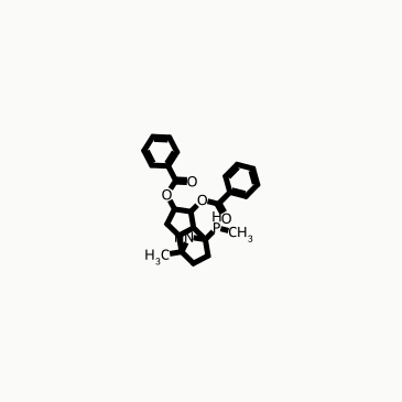 CPC12CCC(C)(N1)C1CC(OC(=O)c3ccccc3)C(OC(=O)c3ccccc3)C12